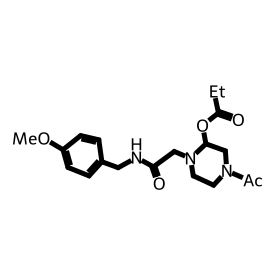 CCC(=O)OC1CN(C(C)=O)CCN1CC(=O)NCc1ccc(OC)cc1